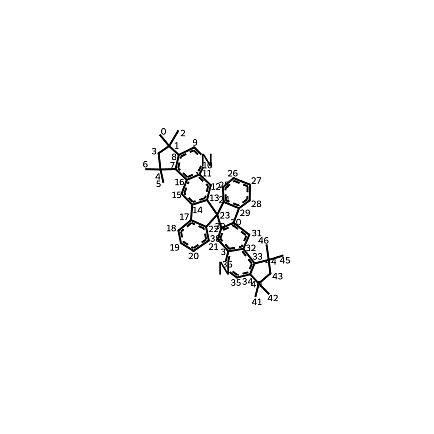 CC1(C)CC(C)(C)c2c1cnc1cc3c(cc21)-c1ccccc1C31c2ccccc2-c2cc3c4c(cnc3cc21)C(C)(C)CC4(C)C